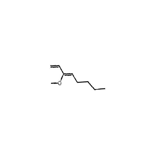 C=C/C(=C/CCCC)OC